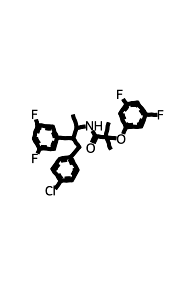 CC(NC(=O)C(C)(C)Oc1cc(F)cc(F)c1)C(Cc1ccc(Cl)cc1)c1cc(F)cc(F)c1